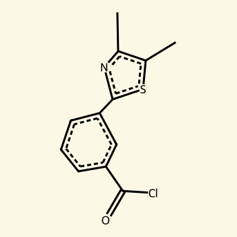 Cc1nc(-c2cccc(C(=O)Cl)c2)sc1C